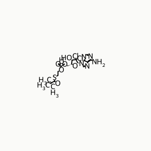 CC(C)(C)C(=O)SCCO[PH](=O)OC[C@H]1O[C@@H](n2cnc3c(N)ncnc32)C(Cl)(Cl)[C@@H]1O